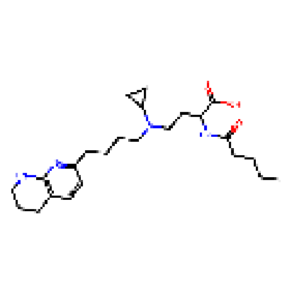 CCCCC(=O)NC(CCN(CCCCc1ccc2c(n1)NCCC2)C1CC1)C(=O)O